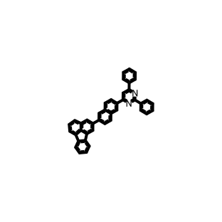 c1ccc(-c2cc(-c3ccc4cc(-c5cc6c7c(cccc7c5)-c5ccccc5-6)ccc4c3)nc(-c3ccccc3)n2)cc1